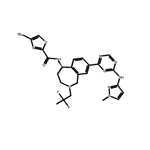 Cn1ccc(Nc2ncnc(-c3ccc4c(c3)CN(CC(C)(F)F)CC[C@H]4NC(=O)c3nc(C(C)(C)C)co3)n2)n1